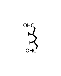 O=CCC(I)CC(I)CC=O